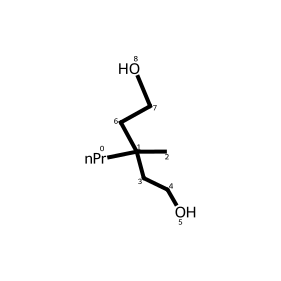 CCCC(C)(CCO)CCO